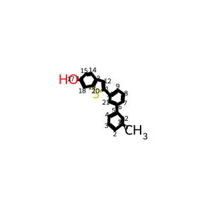 Cc1cccc(-c2cccc(-c3cc4ccc(O)cc4s3)c2)c1